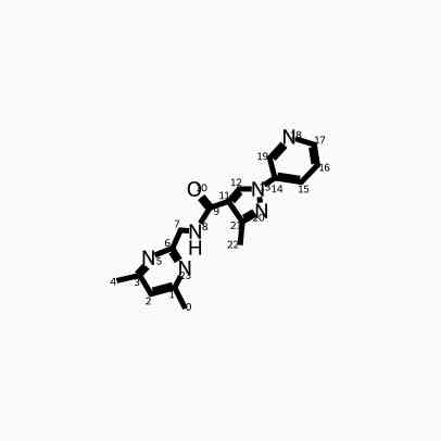 Cc1cc(C)nc(CNC(=O)c2cn(-c3cccnc3)nc2C)n1